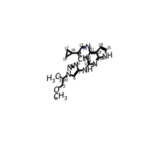 COC[C@@H](C)n1cc(Nc2nc(/N=C\[C@@H](C)C3CC3)c3cc[nH]c3n2)nn1